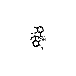 CCC(C)(Pc1c(C)cccc1C(C)=O)c1cccc(OC)c1O